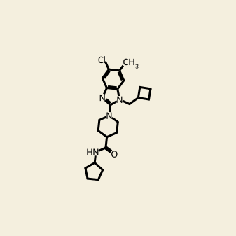 Cc1cc2c(cc1Cl)nc(N1CCC(C(=O)NC3CCCC3)CC1)n2CC1CCC1